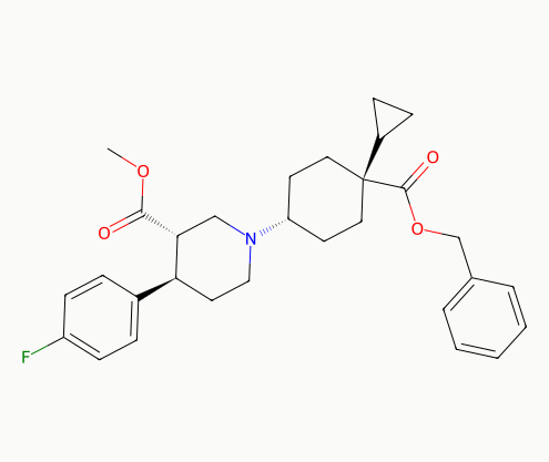 COC(=O)[C@@H]1CN([C@H]2CC[C@](C(=O)OCc3ccccc3)(C3CC3)CC2)CC[C@H]1c1ccc(F)cc1